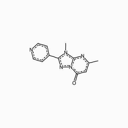 Cc1cc(=O)n2nc(-c3ccncc3)n(C)c2n1